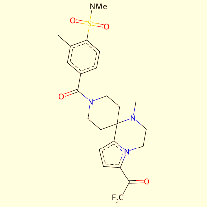 CNS(=O)(=O)c1ccc(C(=O)N2CCC3(CC2)c2ccc(C(=O)C(F)(F)F)n2CCN3C)cc1C